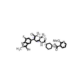 C=N/C(=C\C(=C(/C)Cl)c1cc(F)c2nn(C)c(C(C)C)c2c1)NC(=O)[C@H]1CCC[C@@H](NC(=O)c2cccnc2OC)C1